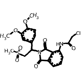 COc1ccc(C(CS(C)(=O)=O)N2C(=O)c3cccc(NC(=O)CCl)c3C2=O)cc1OC